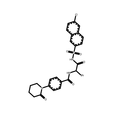 CC(C)C(NC(=O)c1ccc(N2CCCCC2=O)cc1)C(=O)NS(=O)(=O)c1ccc2cc(Cl)ccc2c1